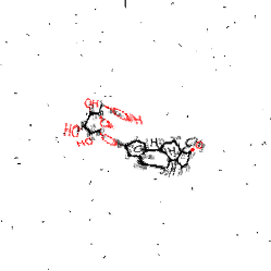 C[C@]12CC[C@@H](O[C@@H]3O[C@H](CO)[C@H](O)[C@H](O)[C@H]3O)CC1CC[C@@H]1[C@@H]2CC[C@]2(C)C(=O)CC[C@@H]12